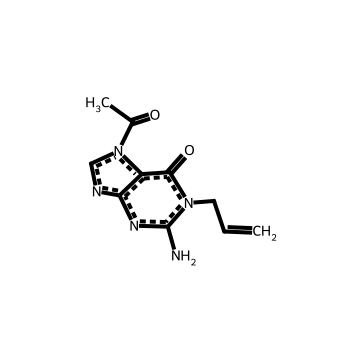 C=CCn1c(N)nc2ncn(C(C)=O)c2c1=O